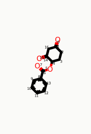 O=C1CCC(OC(=O)c2ccccc2)C(=O)C1